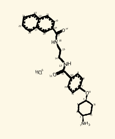 Cl.N[C@H]1CC[C@@H](Oc2ccc(C(=O)NCCNC(=O)c3ccc4ccccc4c3)cc2)CC1